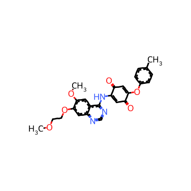 COCCOc1cc2ncnc(NC3=CC(=O)C(Oc4ccc(C)cc4)=CC3=O)c2cc1OC